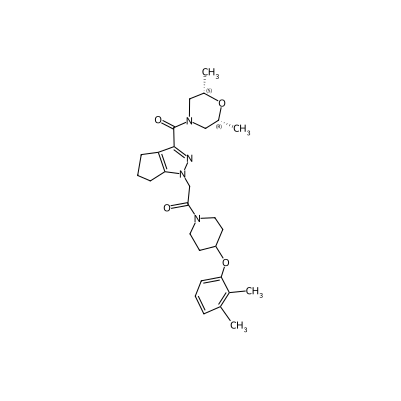 Cc1cccc(OC2CCN(C(=O)Cn3nc(C(=O)N4C[C@@H](C)O[C@@H](C)C4)c4c3CCC4)CC2)c1C